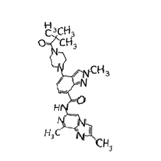 Cc1cn2cc(NC(=O)c3ccc(N4CCN(C(=O)C(C)(C)C)CC4)c4cn(C)nc34)nc(C)c2n1